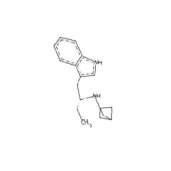 CC[C@H](Cc1c[nH]c2ccccc12)NC12CC(C1)C2